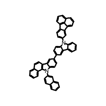 c1ccc2cc(-n3c4ccc(-c5ccc6c(c5)c5ccccc5n6-c5ccc6c(c5)-c5cccc7cccc-6c57)cc4c4ccc5ccccc5c43)ccc2c1